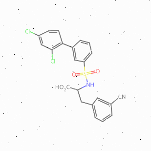 N#Cc1cccc(CC(NS(=O)(=O)c2cccc(-c3ccc(Cl)cc3Cl)c2)C(=O)O)c1